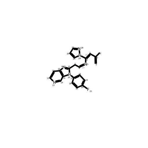 C=C(C)/C=C(\N=C/Cc1nc2ccncc2n1-c1ccc(F)cc1)n1cccn1